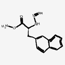 N=NN[C@@H](Cc1ccc2ccccc2c1)C(=O)ON